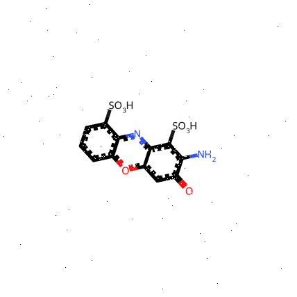 Nc1c(S(=O)(=O)O)c2nc3c(S(=O)(=O)O)cccc3oc-2cc1=O